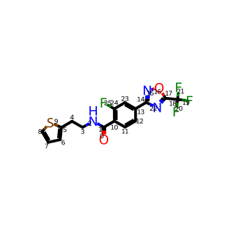 O=C(NCCc1cccs1)c1ccc(-c2noc(C(F)(F)F)n2)cc1F